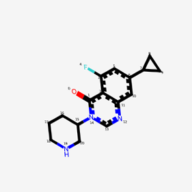 O=c1c2c(F)cc(C3CC3)cc2ncn1C1CCCNC1